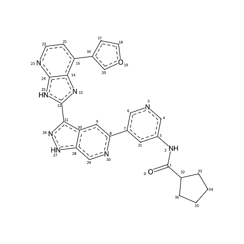 O=C(Nc1cncc(-c2cc3c(-c4nc5c(-c6ccoc6)ccnc5[nH]4)n[nH]c3cn2)c1)C1CCCC1